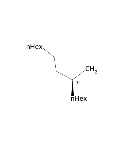 [CH2][C@@H](CCCCCC)CCCCCCCC